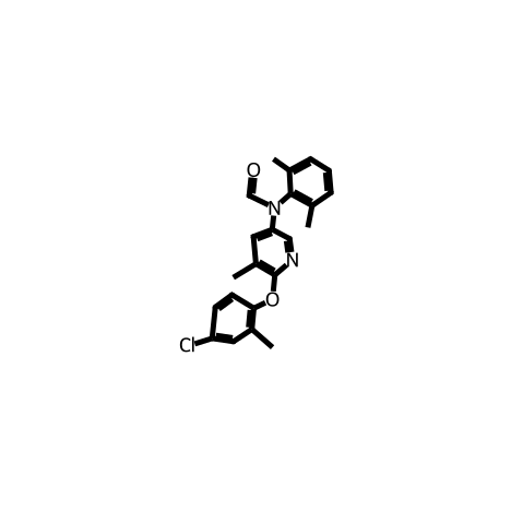 Cc1cc(Cl)ccc1Oc1ncc(N(C=O)c2c(C)cccc2C)cc1C